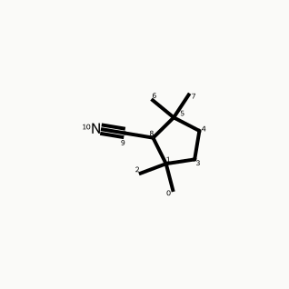 CC1(C)CCC(C)(C)C1C#N